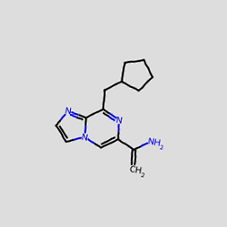 C=C(N)c1cn2ccnc2c(CC2CCCC2)n1